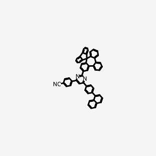 N#Cc1ccc(-c2cc(-c3ccc(-c4cccc5ccccc45)cc3)nc(-c3ccc4c(c3)-c3ccccc3-c3ccccc3C43c4ccccc4-c4ccccc43)n2)cc1